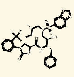 CC[C@H](C)CN(C[C@@H](O)[C@H](Cc1ccccc1)NC(=O)[C@@H]1CN(c2ccccc2C(F)(F)F)C(=O)O1)S(=O)(=O)c1ccc2ncsc2c1